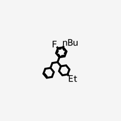 CCCCc1ccc(C(CC2CC=CCC2)C2CCC(CC)CC2)cc1F